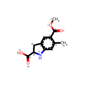 COC(=O)c1cc2c(cc1C)NC(C(=O)O)C2